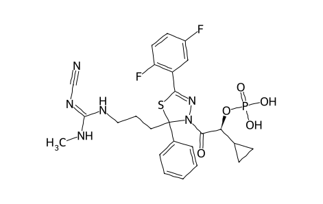 CN/C(=N/C#N)NCCCC1(c2ccccc2)SC(c2cc(F)ccc2F)=NN1C(=O)[C@@H](OP(=O)(O)O)C1CC1